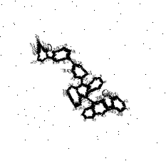 c1ccc2c(-c3c4ccccc4c(-c4ccc(-c5ccc6oc7ccccc7c6c5)cc4)c4ccccc34)c3oc4ccccc4c3cc2c1